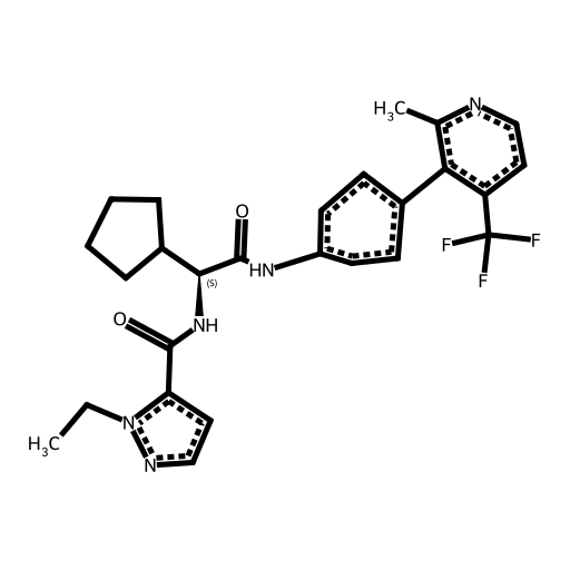 CCn1nccc1C(=O)N[C@H](C(=O)Nc1ccc(-c2c(C(F)(F)F)ccnc2C)cc1)C1CCCC1